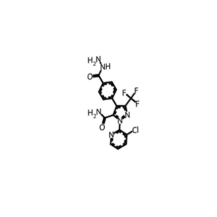 NNC(=O)c1ccc(-c2c(C(F)(F)F)nn(-c3ncccc3Cl)c2C(N)=O)cc1